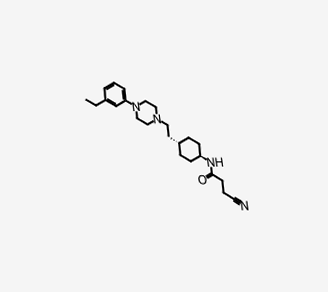 CCc1cccc(N2CCN(CC[C@H]3CC[C@H](NC(=O)CCC#N)CC3)CC2)c1